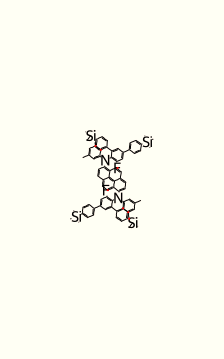 Cc1cc(C)cc(N(c2c(F)cc(-c3ccc([Si](C)(C)C)cc3)cc2-c2ccc([Si](C)(C)C)cc2)c2ccc3ccc4c(N(c5cc(C)cc(C)c5)c5c(F)cc(-c6ccc([Si](C)(C)C)cc6)cc5-c5ccc([Si](C)(C)C)cc5)ccc5ccc2c3c54)c1